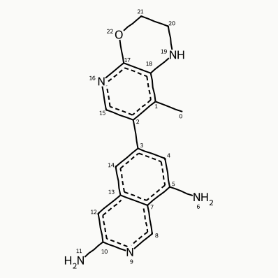 Cc1c(-c2cc(N)c3cnc(N)cc3c2)cnc2c1NCCO2